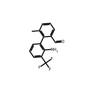 Cc1cccc(C=O)c1-c1cccc(C(F)(F)F)c1N